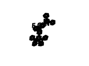 FC(F)(F)c1cc(-c2nc(-c3ccccc3)cc(-c3ccccc3)n2)ccc1-n1c2ccccc2c2cc(-c3cc4c5c(c3)N(c3ccccc3)c3ccccc3B5c3ccccc3N4c3ccccc3)ccc21